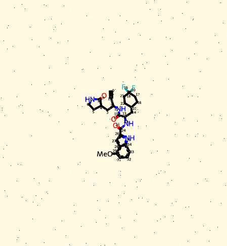 C#CC(CC1CCNC1=O)NC(=O)C(CC1CCC(F)(F)CC1)NC(=O)c1cc2c(OC)cccc2[nH]1